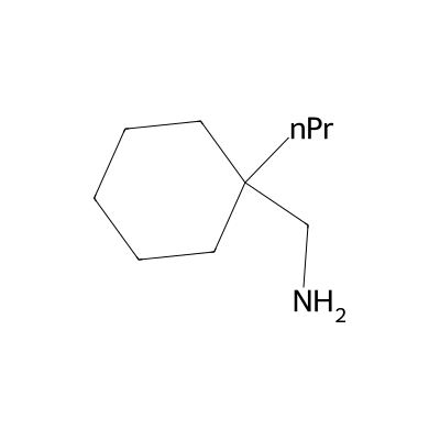 CCCC1(CN)CCCCC1